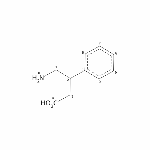 NCC(CC(=O)O)c1ccccc1